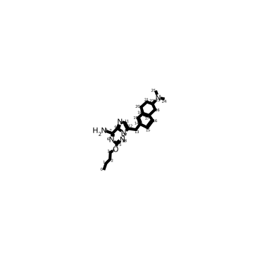 CCCCOc1nc(N)c2ncc(Cc3ccc4c(c3)CCC(N(C)C)C4)n2n1